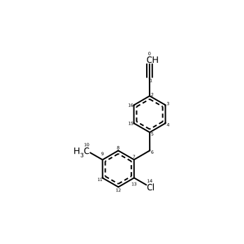 C#Cc1ccc(Cc2cc(C)ccc2Cl)cc1